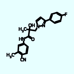 Cc1cc(NC(=O)C(C)(O)Cn2ccc(-c3ccc(F)cc3)n2)ccc1C#N